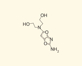 Nc1nc2oc(N(CCO)CCO)cc2o1